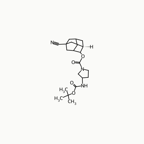 CC(C)(C)OC(=O)NC1CCN(C(=O)OC2C3CC4C[C@@H]2CC(C#N)(C4)C3)C1